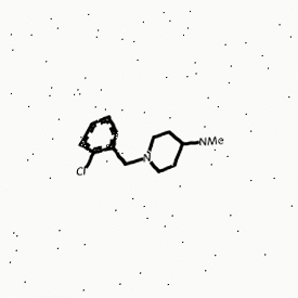 CNC1CCN(Cc2ccccc2Cl)CC1